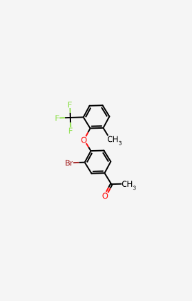 CC(=O)c1ccc(Oc2c(C)cccc2C(F)(F)F)c(Br)c1